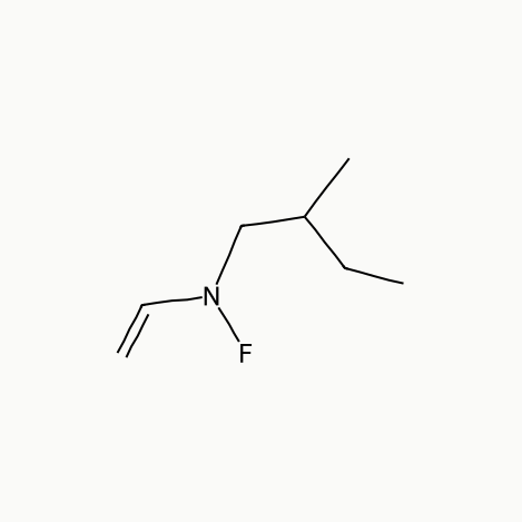 C=CN(F)CC(C)CC